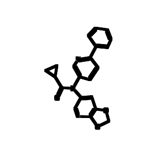 O=C(C1CC1)N(c1ccc(-c2ccccc2)nc1)c1ccc2c(c1)OCO2